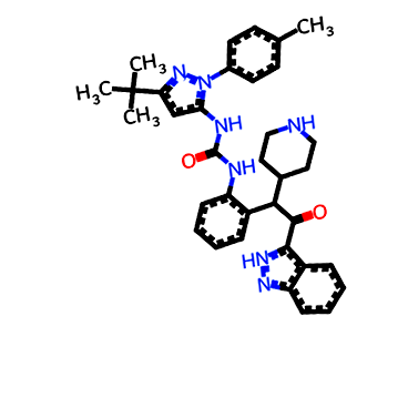 Cc1ccc(-n2nc(C(C)(C)C)cc2NC(=O)Nc2ccccc2C(C(=O)c2[nH]nc3ccccc23)C2CCNCC2)cc1